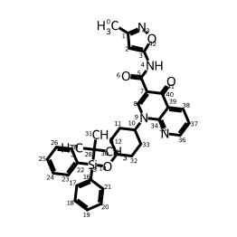 Cc1cc(NC(=O)c2cn(C3CCC(O[Si](c4ccccc4)(c4ccccc4)C(C)(C)C)CC3)c3ncccc3c2=O)on1